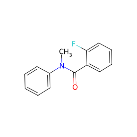 CN(C(=O)c1ccccc1F)c1ccccc1